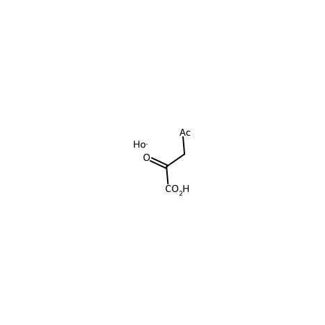 CC(=O)CC(=O)C(=O)O.[Ho]